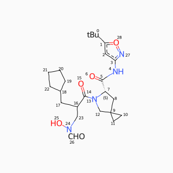 CC(C)(C)c1cc(NC(=O)[C@@H]2CC3(CC3)CN2C(=O)C(CC2CCCC2)CN(O)C=O)no1